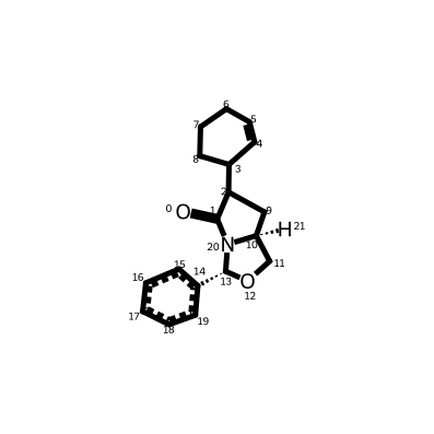 O=C1C(C2C=CCCC2)C[C@H]2CO[C@H](c3ccccc3)N12